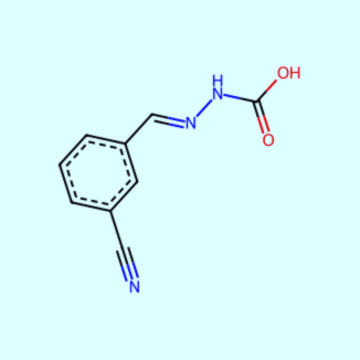 N#Cc1cccc(/C=N/NC(=O)O)c1